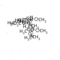 C=CC=C.Cc1ccc(-c2nc3ccc(C)cn3c2CC(=O)N(C)C)cc1.Cc1ccc(-c2nc3ccc(C)cn3c2CC(=O)N(C)C)cc1.O=C(O)C(O)C(O)C(=O)O